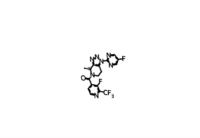 C[C@H]1c2nnn(-c3ncc(F)cn3)c2CCN1C(=O)c1ccnc(C(F)(F)F)c1F